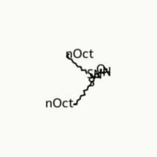 CCCCCCCC/C=C\CCCCCCCCSCC1(CSCCCCCCCC/C=C\CCCCCCCC)CN(C(=O)CN(C)C)C1